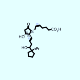 CCCC1(C(O)C/C=C/[C@H]2[C@H](O)CC(=O)[C@@H]2C/C=C\CCCC(=O)O)CCCC1